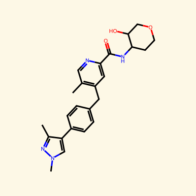 Cc1cnc(C(=O)NC2CCOCC2O)cc1Cc1ccc(-c2cn(C)nc2C)cc1